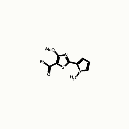 CCC(=O)c1sc(-c2cccn2C)nc1OC